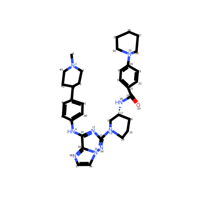 CN1CCC(c2ccc(Nc3nc(N4CCC[C@@H](NC(=O)c5ccc(N6CCCCC6)cc5)C4)nn4ccnc34)cc2)CC1